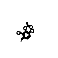 CC(=O)Oc1c(Cl)ccc(I)c1Cl